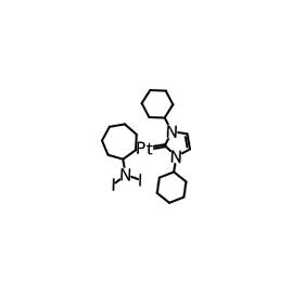 IN(I)C1CCCCCC1.[Pt]=[c]1n(C2CCCCC2)ccn1C1CCCCC1